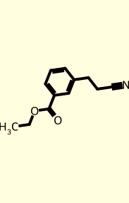 CCOC(=O)c1cccc(CCC#N)c1